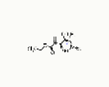 CCOC(=O)/C(=C/N(CC)CC)C(=S)NC(=O)OCC(Cl)(Cl)Cl